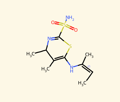 C/C=C(/C)NC1=C(C)C(C)N=C(S(N)(=O)=O)S1